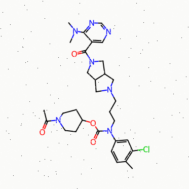 CC(=O)N1CCC(OC(=O)N(CCCN2CC3CN(C(=O)c4cncnc4N(C)C)CC3C2)c2ccc(C)c(Cl)c2)CC1